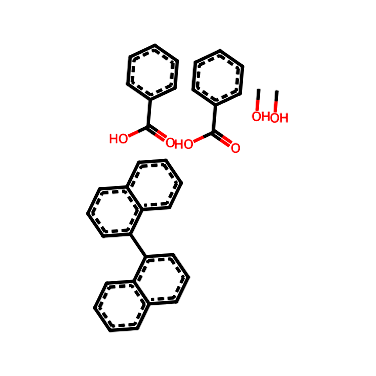 CO.CO.O=C(O)c1ccccc1.O=C(O)c1ccccc1.c1ccc2c(-c3cccc4ccccc34)cccc2c1